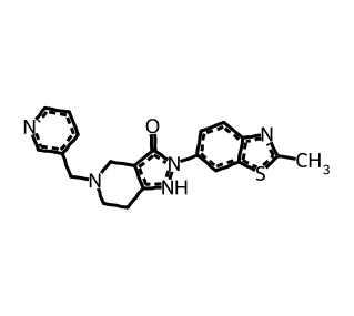 Cc1nc2ccc(-n3[nH]c4c(c3=O)CN(Cc3cccnc3)CC4)cc2s1